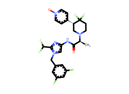 C[C@@H](C(=O)Nc1cn(Cc2cc(F)cc(F)c2)c(C(F)F)n1)N1CCC(F)(F)[C@@H](c2cc[n+]([O-])cc2)C1